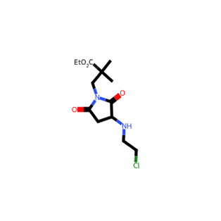 CCOC(=O)C(C)(C)CN1C(=O)CC(NCCCl)C1=O